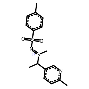 Cc1ccc(S(=O)(=O)/N=S(\C)C(C)c2ccc(C)nc2)cc1